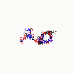 C=C1C(=O)N[C@@H](C)C(=O)N(C)[C@@H](C)C(=O)N[C@@H]([C@H](OC(=O)[C@@H](NC(=O)CC)[C@H](OC(=O)OCc2ccc(NC(=O)[C@H](CCCNC(N)=O)NC(=O)[C@@H](NC(=O)CCOCCN3C(=O)C=CC3=O)C(C)C)cc2)C(C)C)C(C)C)C(=O)N(C)[C@@H]([C@@H](C)OC)C(=O)O[C@H](C(C)C)[C@H](NC(C)=O)C(=O)O[C@H](Cc2ccccc2)C(=O)N1C